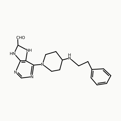 O=CC1Nc2ncnc(N3CCC(NCCc4ccccc4)CC3)c2N1